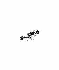 CCc1nc(NCCCN2CCOCC2)nc(Nc2ccc(C(=O)Nc3ccccc3)cn2)n1